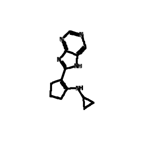 c1ncc2[nH]c(C3=C(NC4CC4)CCC3)nc2n1